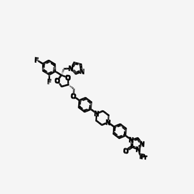 CC(C)n1ncn(-c2ccc(N3CCN(c4ccc(OC[C@@H]5CO[C@@](Cn6ccnc6)(c6ccc(F)cc6F)O5)cc4)CC3)cc2)c1=O